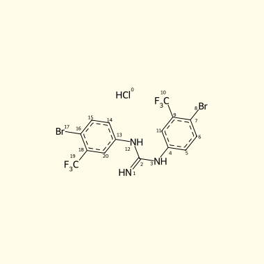 Cl.N=C(Nc1ccc(Br)c(C(F)(F)F)c1)Nc1ccc(Br)c(C(F)(F)F)c1